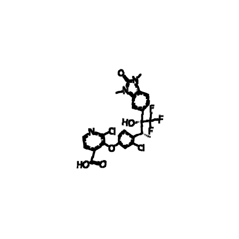 C[C@H](c1ccc(Oc2c(C(=O)O)ccnc2Cl)cc1Cl)[C@@](O)(c1ccc2c(c1)n(C)c(=O)n2C)C(F)(F)F